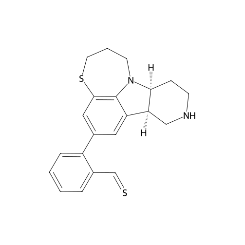 S=Cc1ccccc1-c1cc2c3c(c1)[C@@H]1CNCC[C@@H]1N3CCCS2